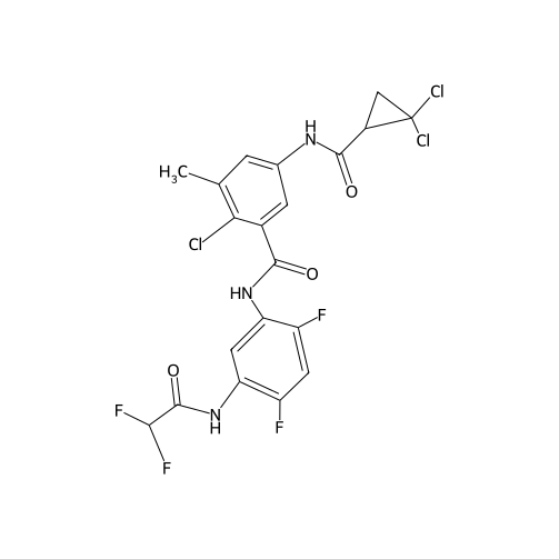 Cc1cc(NC(=O)C2CC2(Cl)Cl)cc(C(=O)Nc2cc(NC(=O)C(F)F)c(F)cc2F)c1Cl